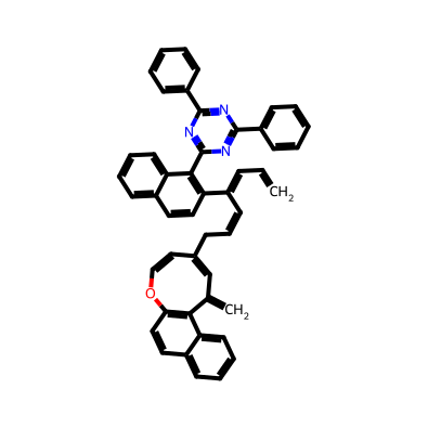 C=C/C=C(\C=C/CC1=C/C(=C)c2c(ccc3ccccc23)O/C=C\1)c1ccc2ccccc2c1-c1nc(-c2ccccc2)nc(-c2ccccc2)n1